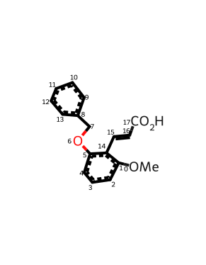 COc1cccc(OCc2ccccc2)c1C=CC(=O)O